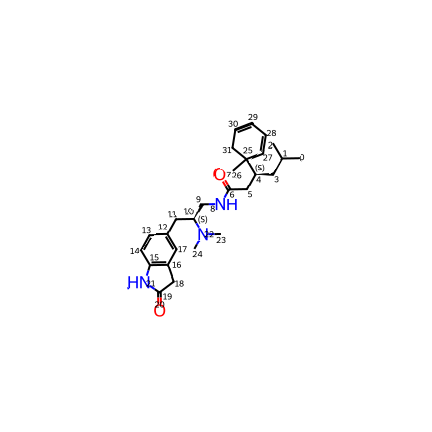 CC(C)C[C@@H](CC(=O)NC[C@H](Cc1ccc2c(c1)CC(=O)N2)N(C)C)C1(C)C=CC=CC1